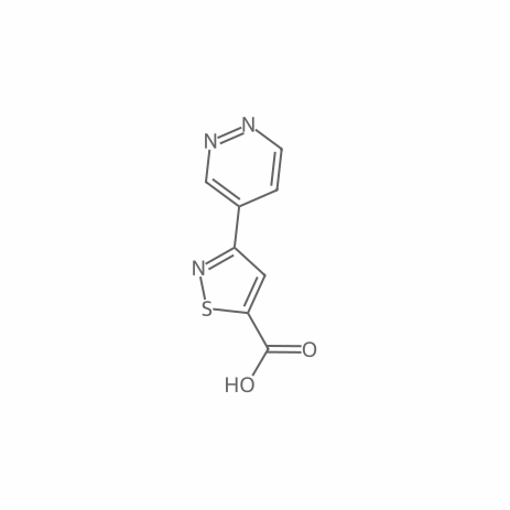 O=C(O)c1cc(-c2ccnnc2)ns1